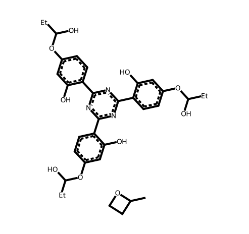 CC1CCO1.CCC(O)Oc1ccc(-c2nc(-c3ccc(OC(O)CC)cc3O)nc(-c3ccc(OC(O)CC)cc3O)n2)c(O)c1